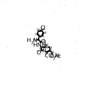 CC(=O)OCC1=C(C(=O)O)N2C(=O)C(NC(=O)C(N)c3ccc(Cl)cc3)[C@H]2SC1